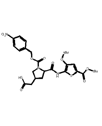 CC(C)(C)OC(=O)c1cc(OC(C)(C)C)c(NC(=O)C2CC(CC(=O)S)CN2C(=O)OCc2ccc([N+](=O)[O-])cc2)s1